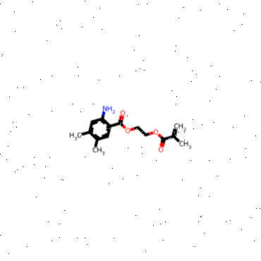 C=C(C)C(=O)OCCOC(=O)c1cc(C)c(C)cc1N